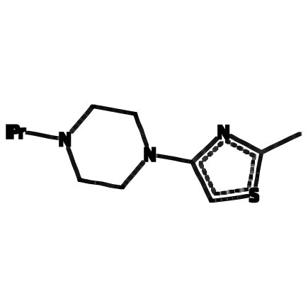 Cc1nc(N2CCN(C(C)C)CC2)cs1